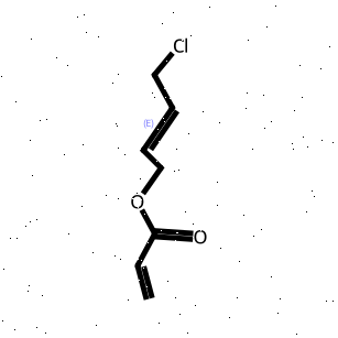 C=CC(=O)OC/C=C/CCl